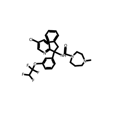 CN1CCCN(C(=O)NC(Cc2ccccc2)(c2cccc(OC(F)(F)C(F)F)c2)c2ccc(Cl)cn2)CC1